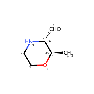 C[C@H]1OCCN[C@@H]1C=O